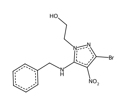 O=[N+]([O-])c1c(Br)nn(CCO)c1NCc1ccccc1